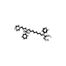 N#CN=C(N)N(CCCCCCCCN(CCCN1CCOCC1)S(=O)(=O)C1CCCCC1)c1ccncc1